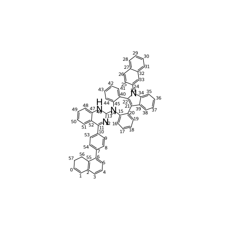 C1=Cc2cccc(-c3ccc(C4=NC(N5c6ccccc6-c6c(n(-c7ccc8ccccc8c7)c7ccccc67)-c6ccccc65)Nc5ccccc54)cc3)c2CC1